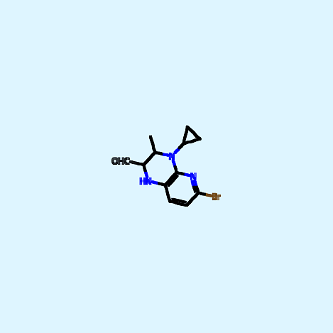 CC1C(C=O)Nc2ccc(Br)nc2N1C1CC1